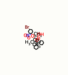 CC(CO[Si](c1ccccc1)(c1ccccc1)C(C)(C)C)(Oc1ccc(Br)cc1[N+](=O)[O-])C(=O)O